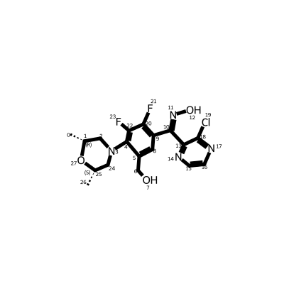 C[C@@H]1CN(c2c(CO)cc(C(=NO)c3nccnc3Cl)c(F)c2F)C[C@H](C)O1